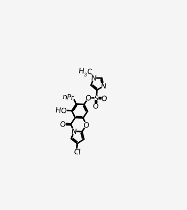 CCCc1c(OS(=O)(=O)c2cn(C)cn2)cc2oc3cc(Cl)cn3c(=O)c2c1O